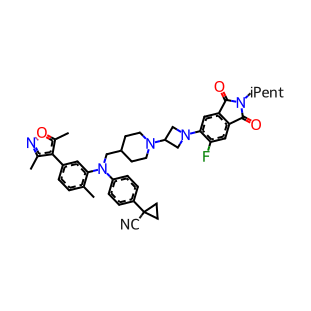 CCCC(C)N1C(=O)c2cc(F)c(N3CC(N4CCC(CN(c5ccc(C6(C#N)CC6)cc5)c5cc(-c6c(C)noc6C)ccc5C)CC4)C3)cc2C1=O